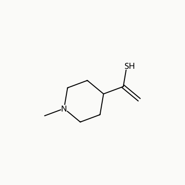 C=C(S)C1CCN(C)CC1